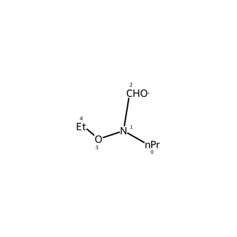 CCCN([C]=O)OCC